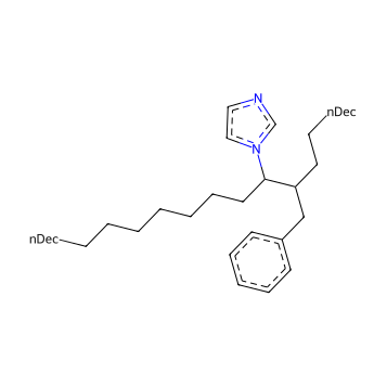 CCCCCCCCCCCCCCCCCC(C(CCCCCCCCCCCC)Cc1ccccc1)n1ccnc1